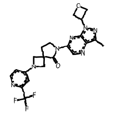 Cc1nn(C2COC2)c2nc(N3CCC4(CN(c5ccnc(C(F)(F)F)c5)C4)C3=O)cnc12